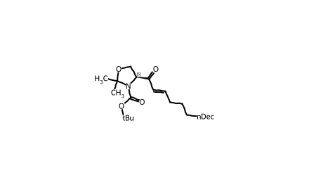 CCCCCCCCCCCCCC=CC(=O)[C@@H]1COC(C)(C)N1C(=O)OC(C)(C)C